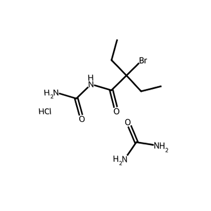 CCC(Br)(CC)C(=O)NC(N)=O.Cl.NC(N)=O